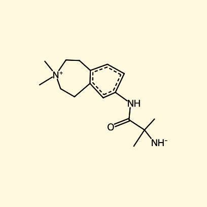 CC(C)([NH-])C(=O)Nc1ccc2c(c1)CC[N+](C)(C)CC2